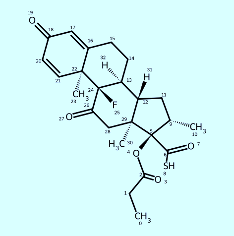 CCC(=O)O[C@]1(C(=O)S)[C@@H](C)C[C@H]2[C@@H]3CCC4=CC(=O)C=C[C@]4(C)[C@@]3(F)C(=O)C[C@@]21C